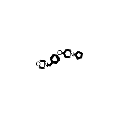 c1cc(OC2CCN(C3CCCC3)CC2)ccc1CN1CCOCC1